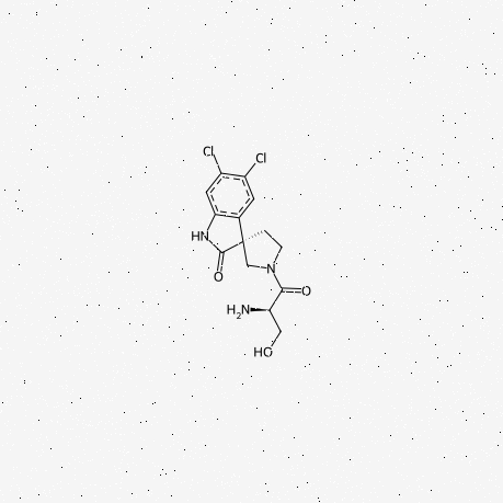 N[C@H](CO)C(=O)N1CC[C@]2(C1)C(=O)Nc1cc(Cl)c(Cl)cc12